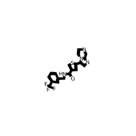 O=C(NCc1cccc(C(F)(F)F)c1)c1csc(-c2cnc3cnccn23)c1